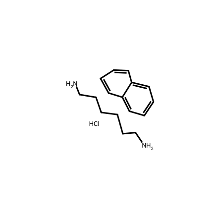 Cl.NCCCCCCN.c1ccc2ccccc2c1